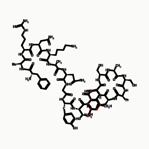 CC[C@H](C)[C@H](NC(=O)[C@@H](N)Cc1ccccc1)C(=O)N[C@@H](CCCNC(=N)N)C(=O)N[C@@H](CC(N)=O)C(=O)N[C@@H](CCCCN)C(=O)N[C@@H](C)C(=O)N[C@@H](CC(N)=O)C(=O)NCC(=O)N[C@@H](Cc1ccc(O)cc1)C(=O)N[C@H](C(=O)N[C@@H](CCC(=O)O)C(=O)N[C@@H](Cc1ccc(O)cc1)C(=O)N[C@@H](CO)C(=O)N[C@@H](C)C(=O)N[C@@H](CO)C(=O)N[C@H](C(=O)N[C@@H](CCCCN)C(=O)NCC(=O)O)C(C)C)[C@@H](C)O